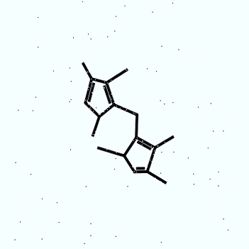 CC1=CC(C)C(CC2=C(C)C(C)=CC2C)=C1C